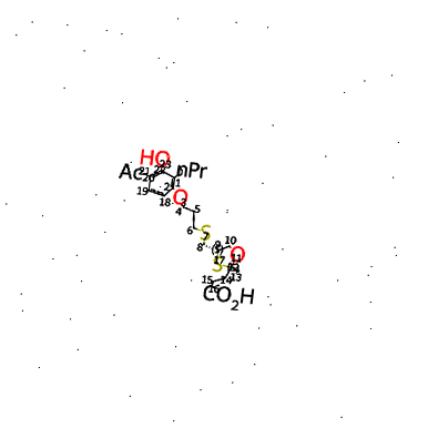 CCCc1c(OCCCSC[C@@H]2CO[C@](C)(CCC(=O)O)S2)ccc(C(C)=O)c1O